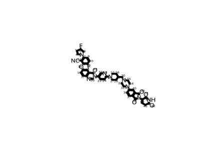 N#Cc1c(N2CC[C@@H](F)C2)ccc(F)c1Oc1ccc2ncn(-c3ccc(N4CCC(CN5CCN(c6ccc7c(c6)C(=O)N(C6CCC(=O)NC6=O)C7=O)CC5)CC4)nc3)c(=O)c2c1